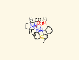 Cc1ccc(CN(C(=O)N2[C@H]3CC[C@@H]2[C@@H](C(=O)O)N(C(O)N(c2ccccc2)c2ccccc2)C3)C2CC2)s1